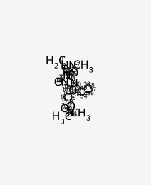 C=CCN(C(=O)NC)N1CC(=O)N2[C@@H](Cc3ccc(OC(=O)N(C)C)cc3)C(=O)N(Cc3cccc4ccccc34)C[C@@H]21